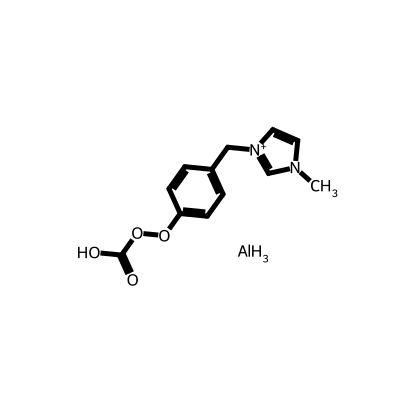 Cn1cc[n+](Cc2ccc(OOC(=O)O)cc2)c1.[AlH3]